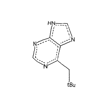 CC(C)(C)Cc1ncnc2[nH]cnc12